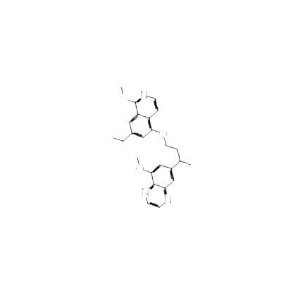 CCc1cc(OCCC(C)c2cc(OC)c3nccnc3c2)c2ccnc(OC)c2c1